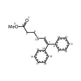 COC(=O)CCSC=C(c1ccccc1)c1ccccc1